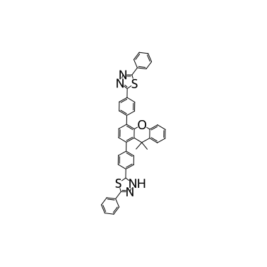 CC1(C)c2ccccc2Oc2c(-c3ccc(-c4nnc(-c5ccccc5)s4)cc3)ccc(-c3ccc(C4NN=C(c5ccccc5)S4)cc3)c21